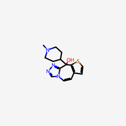 CN1CCC(C2(O)c3sccc3C=Cn3cnnc32)CC1